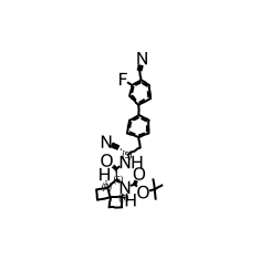 CC(C)(C)OC(=O)N1[C@H](C(=O)N[C@H](C#N)Cc2ccc(-c3ccc(C#N)c(F)c3)cc2)[C@@H]2CCC23CC[C@@H]13